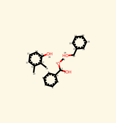 COC(O)c1ccccc1.Cc1cccc(O)c1C.OCc1ccccc1